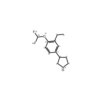 CCc1cc(C2CCNC2)ccc1OC(F)F